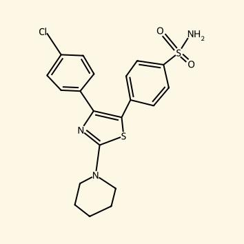 NS(=O)(=O)c1ccc(-c2sc(N3CCCCC3)nc2-c2ccc(Cl)cc2)cc1